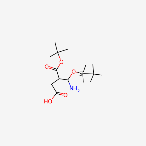 CC(C)(C)OC(=O)C(CC(=O)O)C(N)O[Si](C)(C)C(C)(C)C